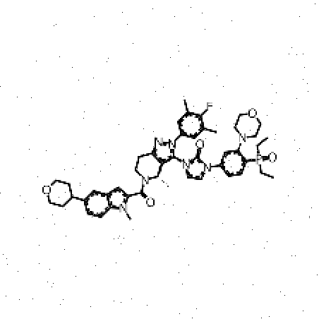 CCP(=O)(CC)c1ccc(-n2ccn(-c3c4c(nn3-c3cc(C)c(F)c(C)c3)CCN(C(=O)c3cc5cc(C6CCOCC6)ccc5n3C)[C@H]4C)c2=O)cc1N1CCOCC1